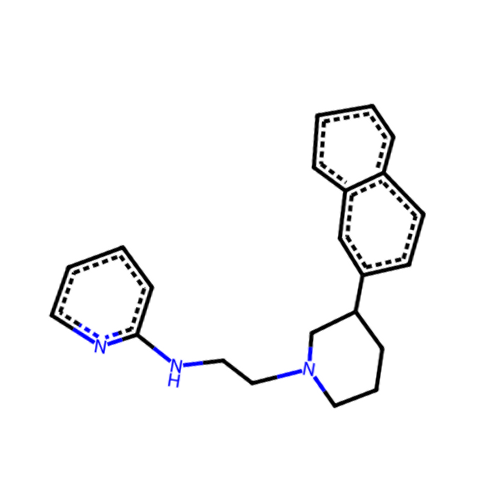 c1ccc(NCCN2CCCC(c3ccc4ccccc4c3)C2)nc1